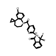 O=C(Nc1ccc(C(=O)N2CCCC3(CC3)c3cc(Cl)ccc32)cn1)c1ccccc1C(F)(F)F